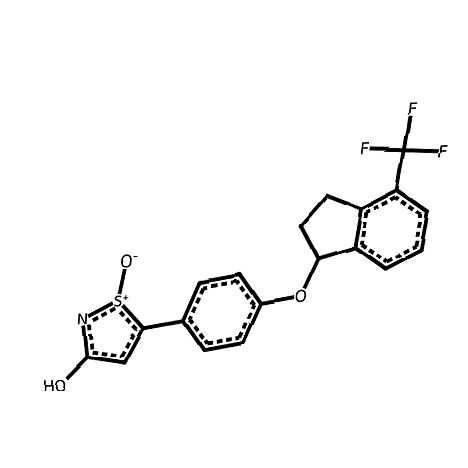 [O-][s+]1nc(O)cc1-c1ccc(OC2CCc3c2cccc3C(F)(F)F)cc1